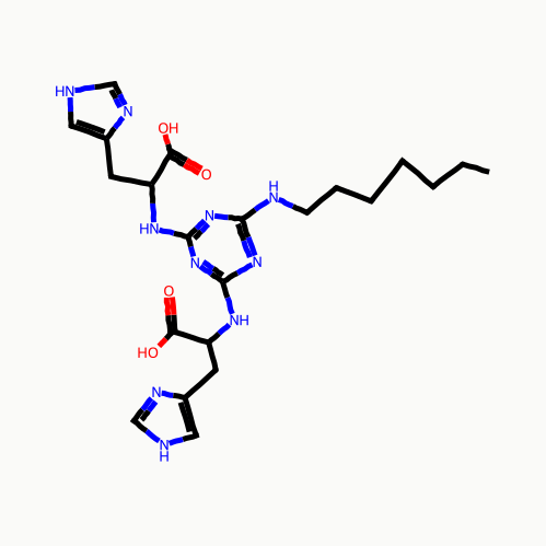 CCCCCCCNc1nc(NC(Cc2c[nH]cn2)C(=O)O)nc(NC(Cc2c[nH]cn2)C(=O)O)n1